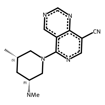 CN[C@@H]1C[C@H](C)CN(c2ncc(C#N)c3ncncc23)C1